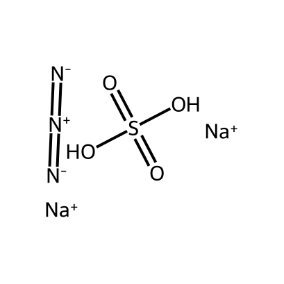 O=S(=O)(O)O.[N-]=[N+]=[N-].[Na+].[Na+]